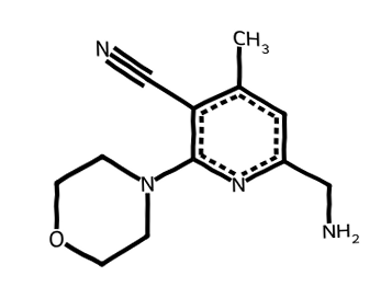 Cc1cc(CN)nc(N2CCOCC2)c1C#N